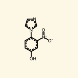 O=[N+]([O-])c1cc(O)ccc1-n1ccnc1